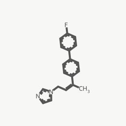 C/C(=C/Cn1ccnc1)c1ccc(-c2ccc(F)cc2)cc1